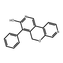 Oc1ncc2c(c1-c1ccccc1)COc1cnccc1-2